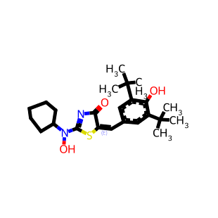 CC(C)(C)c1cc(/C=C2/SC(N(O)C3CCCCC3)=NC2=O)cc(C(C)(C)C)c1O